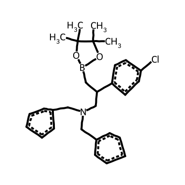 CC1(C)OB(CC(CN(Cc2ccccc2)Cc2ccccc2)c2ccc(Cl)cc2)OC1(C)C